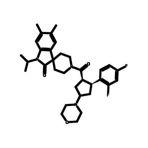 Cc1cc2c(cc1C)C1(CCN(C(=O)[C@@H]3CC(N4CCOCC4)C[C@H]3c3ccc(F)cc3F)CC1)C(=O)N2C(C)C